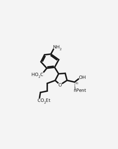 CCCCC[C@@H](O)C1CC(c2cc(N)ccc2C(=O)O)C(CCCC(=O)OCC)O1